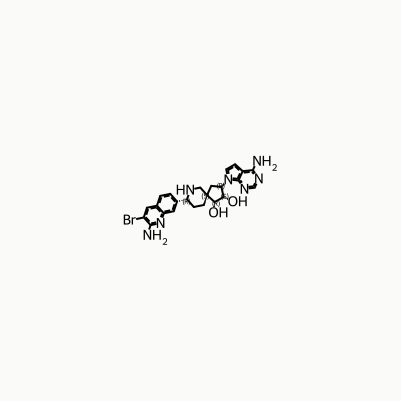 Nc1nc2cc([C@H]3CC[C@@]4(CN3)C[C@@H](n3ccc5c(N)ncnc53)[C@H](O)[C@@H]4O)ccc2cc1Br